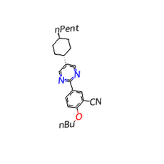 CCCCC[C@H]1CC[C@H](c2cnc(-c3ccc(OCCCC)c(C#N)c3)nc2)CC1